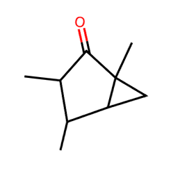 CC1C(=O)C2(C)CC2C1C